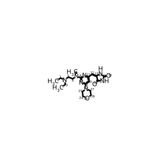 CCN(CC)CCN(C)c1nc(C=C2NC(=O)NC2=O)cc(N2CCOCC2)n1